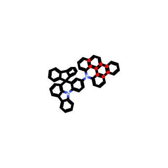 c1ccc(-c2ccccc2-c2ccccc2N(c2ccc3c(c2)C2(c4ccccc4-c4ccccc42)c2cccc4c5ccccc5n-3c24)c2ccccc2-c2ccccc2)cc1